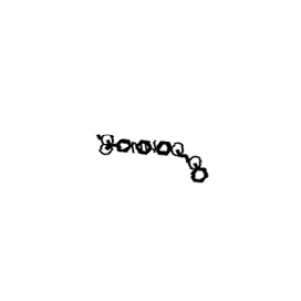 CCOC(=O)c1ccc(N2CCN(c3ccc(OCCCOC4CCCCC4)cc3)CC2)cc1